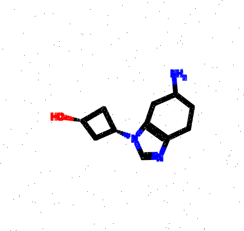 NC1CCc2ncn([C@H]3C[C@@H](O)C3)c2C1